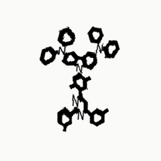 Cc1cccc(-c2cc(-c3cc(C)c(-n4c5ccc(N(c6ccccc6)c6ccccc6)cc5c5cc(N(c6ccccc6)c6ccccc6)ccc54)cc3C)nc(-c3cccc(C)c3)n2)c1